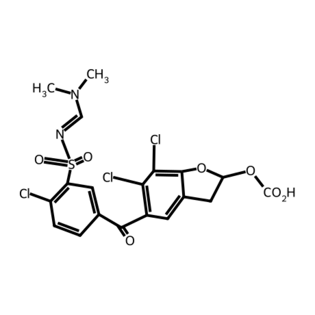 CN(C)C=NS(=O)(=O)c1cc(C(=O)c2cc3c(c(Cl)c2Cl)OC(OC(=O)O)C3)ccc1Cl